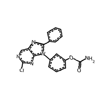 NC(=O)Oc1cccc(-n2c(-c3ccccc3)nc3cnc(Cl)nc32)c1